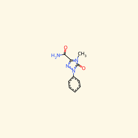 Cn1c(C(N)=O)nn(-c2ccccc2)c1=O